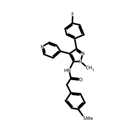 CSc1ccc(CC(=O)Nc2c(-c3ccncc3)c(-c3ccc(F)cc3)nn2C)cc1